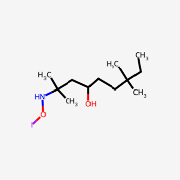 CCC(C)(C)CCC(O)CC(C)(C)NOI